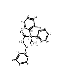 CS(C(=O)OCc1ccccc1)(c1ccccc1)c1ccccc1